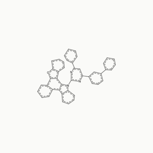 c1ccc(-c2cccc(-c3cc(-c4ccccc4)nc(-n4c5ccccc5c5c6ccccc6c6oc7ccccc7c6c54)n3)c2)cc1